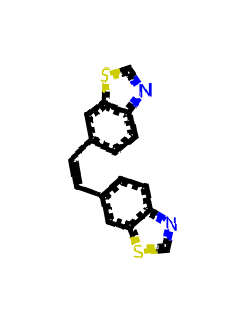 C(=C/c1ccc2ncsc2c1)/c1ccc2ncsc2c1